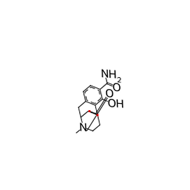 CN1CCC23CC(=O)CCC2C1Cc1ccc(C(N)=O)c(O)c13